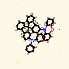 c1ccc(N(c2ccccc2)c2ccc3c(c2)C2(c4ccccc4-c4cc(N5c6ccccc6Oc6ccccc65)ccc42)c2ccccc2-3)cc1